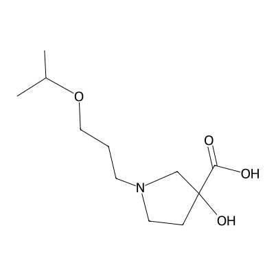 CC(C)OCCCN1CCC(O)(C(=O)O)C1